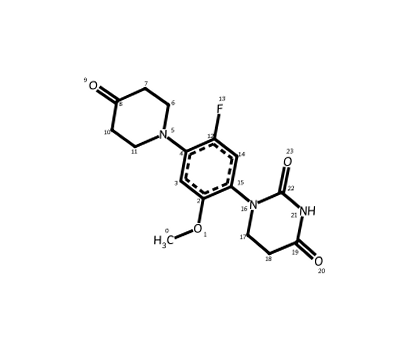 COc1cc(N2CCC(=O)CC2)c(F)cc1N1CCC(=O)NC1=O